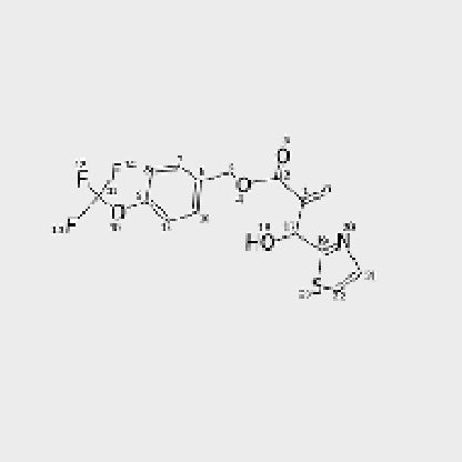 C=C(C(=O)OCc1ccc(OC(F)(F)F)cc1)C(O)c1nccs1